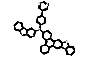 c1ccc2c(c1)oc1cc3c4ccc(N(c5ccc(-c6cncnc6)cc5)c5ccc6sc7ccccc7c6c5)cc4c4ccccc4c3cc12